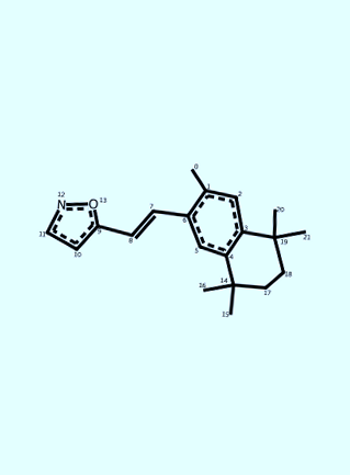 Cc1cc2c(cc1C=Cc1ccno1)C(C)(C)CCC2(C)C